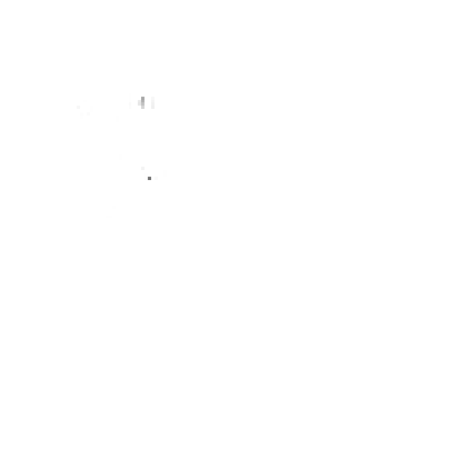 CCCCCCCCCCC/C=C\c1c[nH]c(C(=O)O)c1